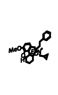 CC[C@]12c3c4ccc(OC)c3O[C@H]1CCC[C@@]2(OCCCc1ccccc1)C(N(C)CC1CC1)C4